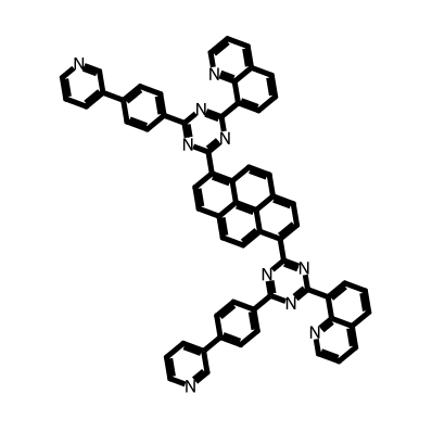 c1cncc(-c2ccc(-c3nc(-c4ccc5ccc6c(-c7nc(-c8ccc(-c9cccnc9)cc8)nc(-c8cccc9cccnc89)n7)ccc7ccc4c5c76)nc(-c4cccc5cccnc45)n3)cc2)c1